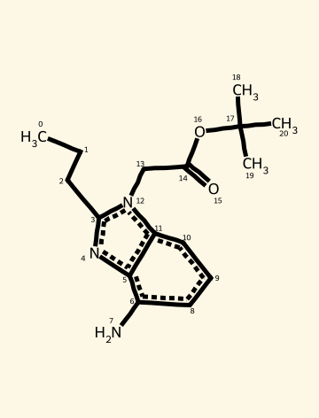 CCCc1nc2c(N)cccc2n1CC(=O)OC(C)(C)C